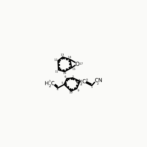 C=CC#N.C=Cc1ccccc1.c1ccc2c(c1)O2